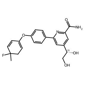 CC1(F)C=CC(Oc2ccc(-c3cc([C@H](O)CO)cc(C(N)=O)n3)cc2)=CC1